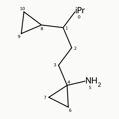 CC(C)C(CCC1(N)CC1)C1CC1